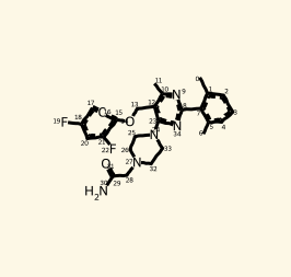 Cc1cccc(C)c1-c1nc(C)c(COc2ccc(F)cc2F)c(N2CCN(CC(N)=O)CC2)n1